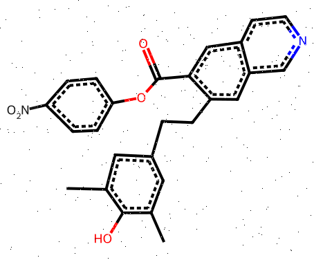 Cc1cc(CCc2cc3cnccc3cc2C(=O)Oc2ccc([N+](=O)[O-])cc2)cc(C)c1O